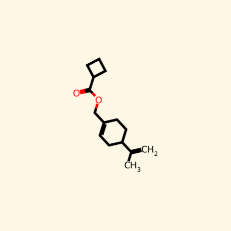 C=C(C)C1CC=C(COC(=O)C2CCC2)CC1